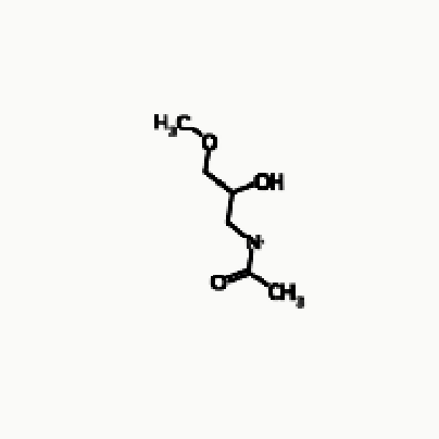 COCC(O)C[N]C(C)=O